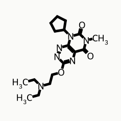 CCN(CC)CCOc1nnc2c(n1)c(=O)n(C)c(=O)n2C1CCCC1